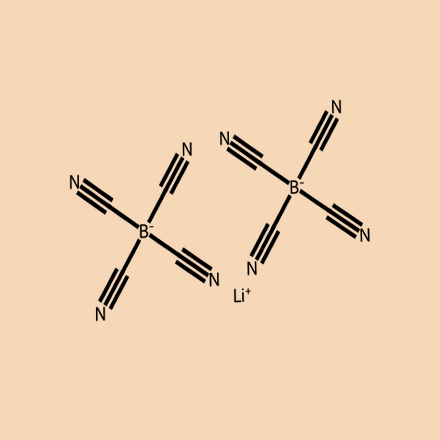 N#C[B-](C#N)(C#N)C#N.N#C[B-](C#N)(C#N)C#N.[Li+]